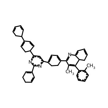 CC1=C(c2ccccc2C)C2CC=CC=C2N=C1C1=CC=C(c2cc(C3C=CC(C4C=CC=CC4)=CC3)nc(C3=CCCC=C3)n2)CC1